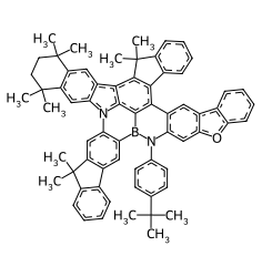 CC(C)(C)c1ccc(N2B3c4cc5c(cc4-n4c6cc7c(cc6c6c8c(c(c3c64)-c3cc4c(cc32)oc2ccccc24)-c2ccccc2C8(C)C)C(C)(C)CCC7(C)C)C(C)(C)c2ccccc2-5)cc1